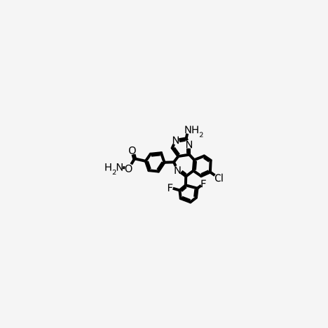 NOC(=O)c1ccc(C2N=C(c3c(F)cccc3F)c3cc(Cl)ccc3-c3nc(N)ncc32)cc1